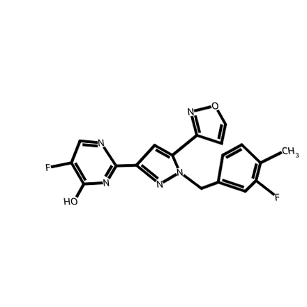 Cc1ccc(Cn2nc(-c3ncc(F)c(O)n3)cc2-c2ccon2)cc1F